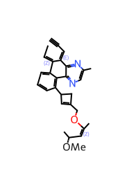 C#C/C=c1\c(=C/C)c2cccc(C3C=C(CO/C(C)=C\C(C)OC)C3)c2c2ncc(C)nc12